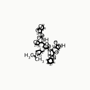 CC(C)N1CCC(C[C@H](CC(=O)C(NC(=O)OC2COC3OCCC23)C2CCOC2)C(=O)N[C@@H](C[C@@H]2CCNC2=O)C(=O)c2nc3ccccc3s2)C1